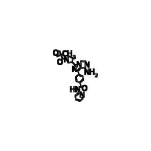 CC1(C(=O)N2CCC(c3nc(-c4ccc(C(=O)Nc5ccccn5)cc4)c4c(N)nccn34)C2)COC1